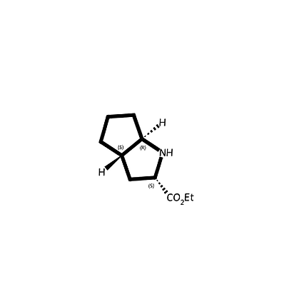 CCOC(=O)[C@@H]1C[C@@H]2CCC[C@H]2N1